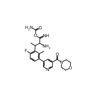 Cc1c(-c2cncc(C(=O)N3CCOCC3)c2)ccc(F)c1C(C)C(N)C(=N)OC(N)=O